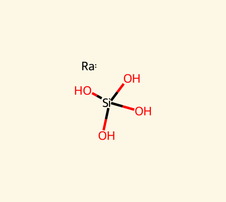 O[Si](O)(O)O.[Ra]